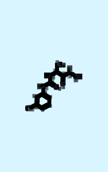 CCCCC(NC(=O)Nc1cccc(Cl)c1)C(=O)NO